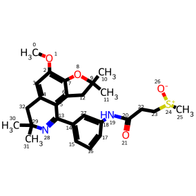 COc1cc2c(c3c1OC(C)(C)C3)C(c1cccc(NC(=O)CC[S+](C)[O-])c1)=NC(C)(C)C2